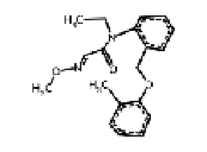 CCN(C(=O)C=NOC)c1ccccc1COc1ccccc1C